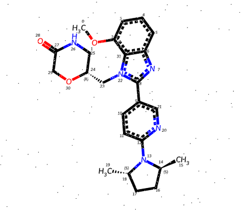 COc1cccc2nc(-c3ccc(N4[C@@H](C)CC[C@@H]4C)nc3)n(C[C@H]3CNC(=O)CO3)c12